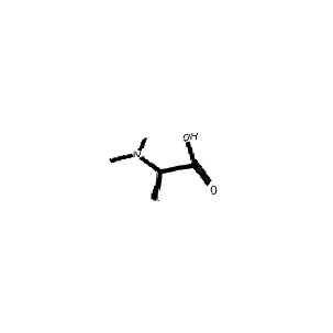 [CH2]C(C(=O)O)N(C)C